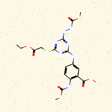 CCOC(=O)CSc1nc(NNC(=O)OC)nc(Nc2ccc(NC(=O)OC)c(C(=O)OC)c2)n1